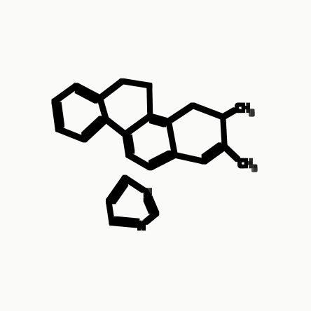 CC1=Cc2ccc3c(c2CC1C)CCc1ccccc1-3.c1cncnc1